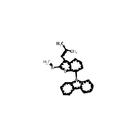 C=Nc1oc2c(-n3c4ccccc4c4ccccc43)cccc2c1C=C(C)C